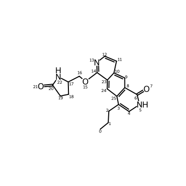 CCCc1c[nH]c(=O)c2cc3ccnc(OCC4CCC(=O)N4)c3cc12